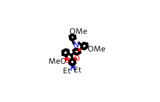 CCN(CC)c1ccc2c(c1)Oc1cc(C)c(N(Cc3ccc(OC)cc3)Cc3ccc(OC)cc3)cc1C2c1ccccc1C(=O)OC